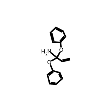 C=CC(N)(Oc1ccccc1)Oc1ccccc1